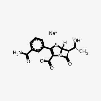 C[C@@H](O)[C@H]1C(=O)N2C(C(=O)[O-])=C(c3cccc(C(N)=O)c3)S[C@H]12.[Na+]